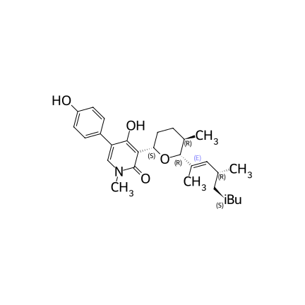 CC[C@H](C)C[C@@H](C)/C=C(\C)[C@@H]1O[C@H](c2c(O)c(-c3ccc(O)cc3)cn(C)c2=O)CC[C@H]1C